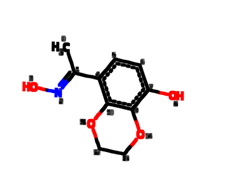 CC(=NO)c1ccc(O)c2c1OCCO2